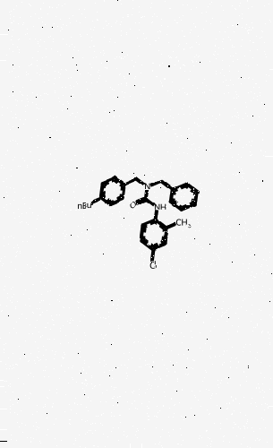 CCCCc1ccc(CN(Cc2ccccc2)C(=O)Nc2ccc(Cl)cc2C)cc1